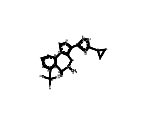 CN1Cc2c(-c3noc(C4CC4)n3)ncn2-c2cccc(C(F)(F)F)c2C1=O